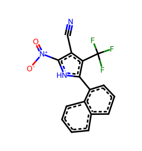 N#Cc1c([N+](=O)[O-])[nH]c(-c2cccc3ccccc23)c1C(F)(F)F